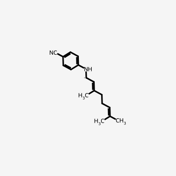 CC(C)=CCC/C(C)=C/[CH]Nc1ccc(C#N)cc1